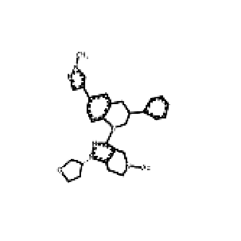 CC(=O)N1CCc2c(c(N3CC(c4ccccc4)Cc4cc(-c5cnn(C)c5)ccc43)nn2[C@@H]2CCOC2)C1